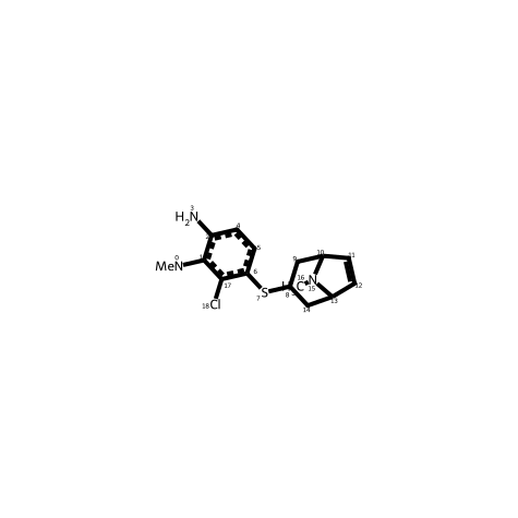 CNc1c(N)ccc(SC2CC3C=CC(C2)N3C)c1Cl